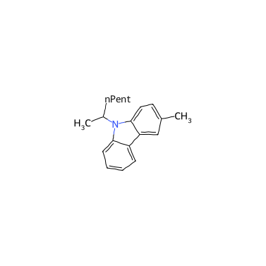 CCCCCC(C)n1c2ccccc2c2cc(C)ccc21